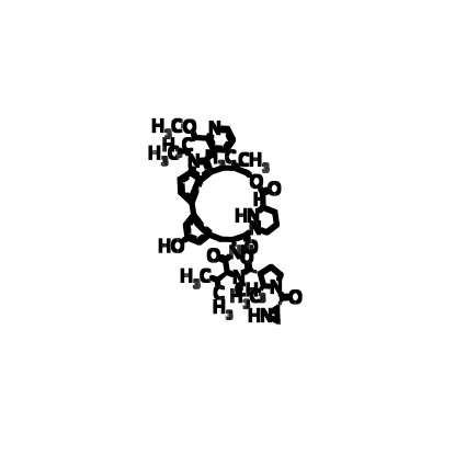 CCn1c(-c2cccnc2[C@H](C)OC)c2c3cc(ccc31)-c1cc(O)cc(c1)C[C@H](NC(=O)[C@H](C(C)C)N(C)C(=O)[C@@H]1CCN(C(=O)[C@@H]3CN3)[C@@H]1C)C(=O)N1CCC[C@H](N1)C(=O)OCC(C)(C)C2